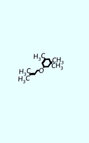 CC(C)=CCOC1C=C(C)CC(C)(C)C1